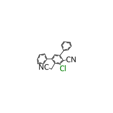 N#CCc1c(-c2ccccc2)cc(-c2ccccc2)c(C#N)c1Cl